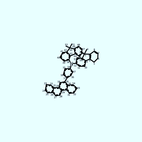 CC1(C)C2=C(CCC=C2)c2ccc(N(c3ccc(-c4cc5c6ccccc6ccc5c5ccccc45)cc3)c3cccc4c3-c3ccccc3C4(C)C)cc21